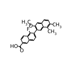 COc1cc2ccc(C)c(C)c2cc1-c1ccc2cc(C(=O)O)ccc2c1F